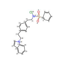 O=S(=O)(c1ccccc1)N(Cl)CCc1ccc(CCn2ccc3ccccc32)cc1